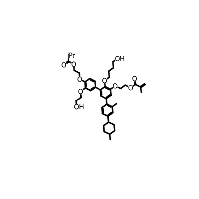 C=C(C)C(=O)OCCOc1cc(-c2ccc(C3CCC(C)CC3)cc2C)cc(-c2ccc(OCCOC(=O)C(C)C)c(OCCO)c2)c1OCCCCO